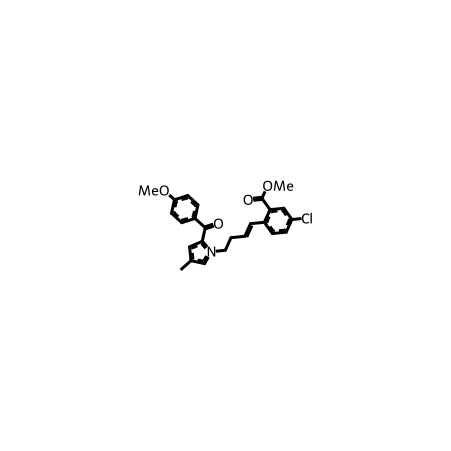 COC(=O)c1cc(Cl)ccc1C=CCCn1cc(C)cc1C(=O)c1ccc(OC)cc1